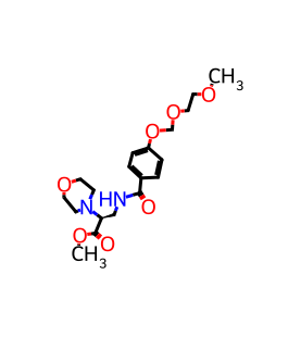 COCCOCOc1ccc(C(=O)NC[C@@H](C(=O)OC)N2CCOCC2)cc1